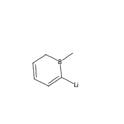 [Li][C]1=CC=CCB1C